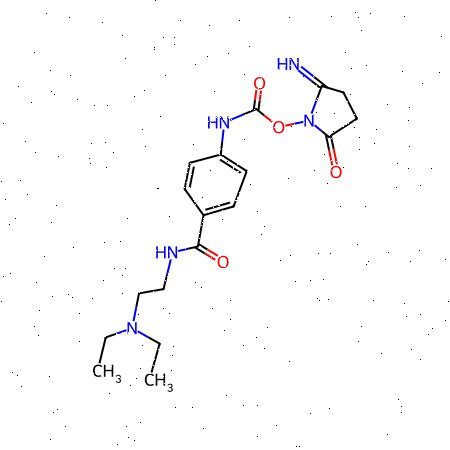 CCN(CC)CCNC(=O)c1ccc(NC(=O)ON2C(=N)CCC2=O)cc1